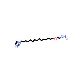 NCCOCCCCCCCCCCCCCCCn1ccnc1